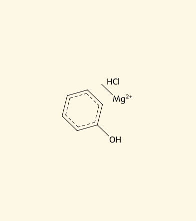 Cl.Oc1ccccc1.[CH3][Mg+2]